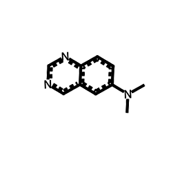 CN(C)c1ccc2ncncc2c1